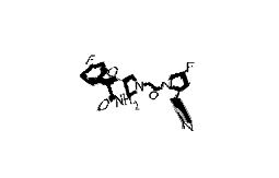 N#C[C@@H]1C[C@H](F)CN1C(=O)CN1CC[C@H](c2oc3cc(F)ccc3c2C(N)=O)C1